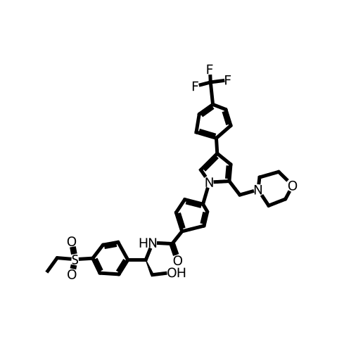 CCS(=O)(=O)c1ccc([C@H](CO)NC(=O)c2ccc(-n3cc(-c4ccc(C(F)(F)F)cc4)cc3CN3CCOCC3)cc2)cc1